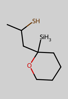 CC(S)CC1([SiH3])CCCCO1